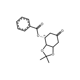 CC1(C)OC2CC(=O)C[C@@H](OC(=O)c3ccccc3)C2O1